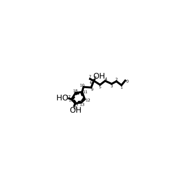 CCCCCCC(C)(O)CCc1ccc(O)c(O)c1